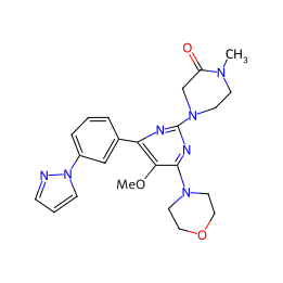 COc1c(-c2cccc(-n3cccn3)c2)nc(N2CCN(C)C(=O)C2)nc1N1CCOCC1